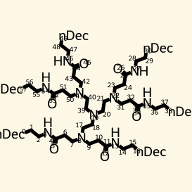 CCCCCCCCCCCCNC(=O)CCN(CCC(=O)NCCCCCCCCCCCC)CCN(CCN(CCC(=O)NCCCCCCCCCCCC)CCC(=O)NCCCCCCCCCCCC)CCN(CCC(=O)NCCCCCCCCCCCC)CCC(=O)NCCCCCCCCCCCC